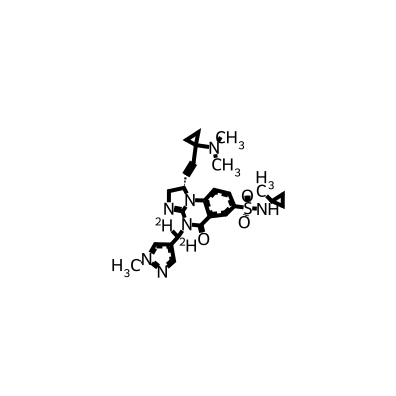 [2H]C([2H])(c1cnn(C)c1)N1C(=O)c2cc(S(=O)(=O)NC3(C)CC3)ccc2N2C1=NC[C@@H]2C#CC1(N(C)C)CC1